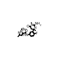 Cc1cc(C(=O)Nc2ccc(F)c(C3(C)CC(=O)N(C)C(N)=N3)c2)n(C(C)(C)C)n1